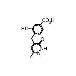 Cc1cc(Cc2ccc(C(=O)O)cc2O)c(=O)[nH]n1